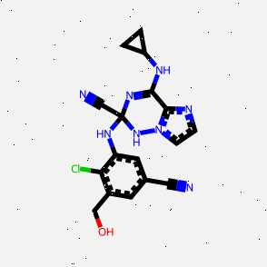 N#Cc1cc(CO)c(Cl)c(NC2(C#N)N=C(NC3CC3)c3nccn3N2)c1